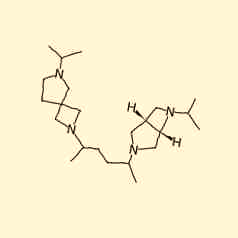 CC(C)N1CCC2(C1)CN(C(C)CCC(C)N1C[C@@H]3CN(C(C)C)[C@@H]3C1)C2